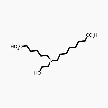 O=C(O)CCCCCCCN(CCO)CCCCCC(=O)O